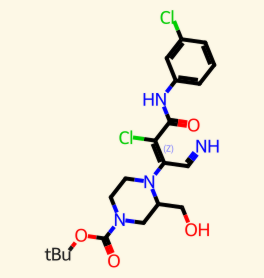 CC(C)(C)OC(=O)N1CCN(/C(C=N)=C(\Cl)C(=O)Nc2cccc(Cl)c2)C(CO)C1